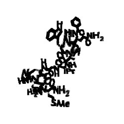 CSCC[C@@H](C(N)=O)N(N)C(=O)[C@H](CC(C)C)NC(=O)[C@H](Cc1c[nH]cn1)NC(=O)CNC(=O)[C@@H](NC(=O)[C@H](C)NC(=O)[C@H](Cc1c[nH]c2ccccc12)NC(=O)[C@H](CCC(N)=O)NC(=O)c1ccccc1)C(C)C